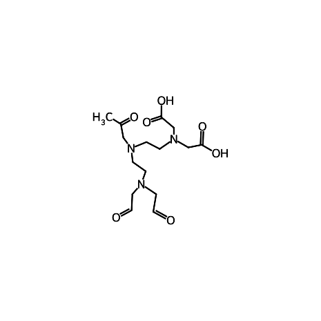 CC(=O)CN(CCN(CC=O)CC=O)CCN(CC(=O)O)CC(=O)O